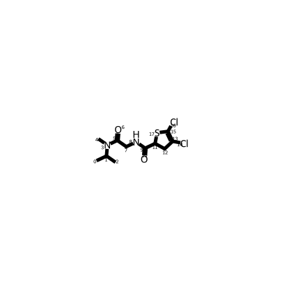 CC(C)N(C)C(=O)CNC(=O)C1CC(Cl)=C(Cl)S1